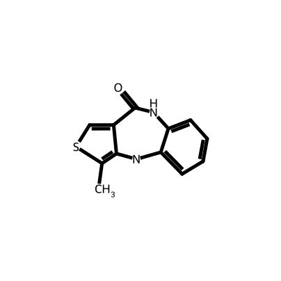 Cc1scc2c1[N]c1ccccc1NC2=O